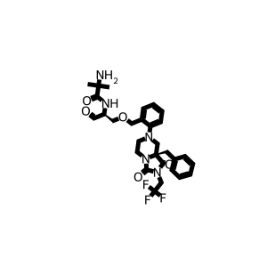 CC(C)(N)C(=O)N[C@H](C=O)COCc1ccccc1N1CCN2C(=O)N(CC(F)(F)F)C(=O)[C@@]2(Cc2ccccc2)C1